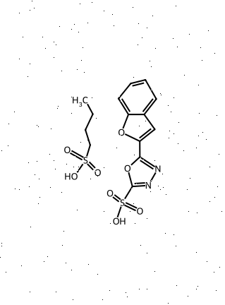 CCCCS(=O)(=O)O.O=S(=O)(O)c1nnc(-c2cc3ccccc3o2)o1